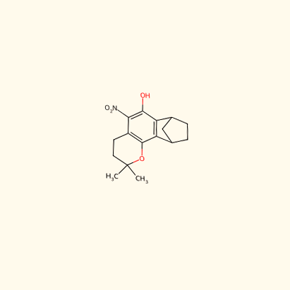 CC1(C)CCc2c(c3c(c(O)c2[N+](=O)[O-])C2CCC3C2)O1